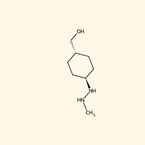 CNN[C@H]1CC[C@H](CO)CC1